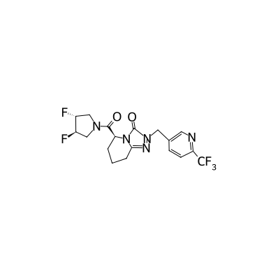 O=C([C@@H]1CCCc2nn(Cc3ccc(C(F)(F)F)nc3)c(=O)n21)N1C[C@@H](F)[C@H](F)C1